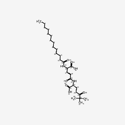 CCCCCCCCCCCCCC(=O)N[C@H](CCC(=O)N[C@@H](CCC(=O)C(C)(C)C)C(=O)O)C(=O)O